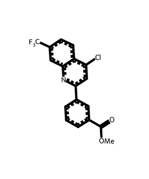 COC(=O)c1cccc(-c2cc(Cl)c3ccc(C(F)(F)F)cc3n2)c1